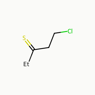 CCC(=S)CCCl